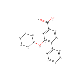 O=C(O)c1ccc(-c2ccccc2)c(OC2CCCCC2)c1